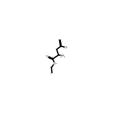 C=C(Cl)CC(N)C(=O)OCC